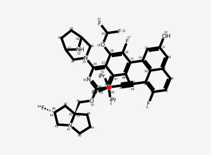 CC(C)[Si](C#Cc1c(F)ccc2cc(O)cc(-c3c(F)c(OC(F)F)c4c(N5CC6CCC(C5)N6)nc(OC[C@@]56CCCN5C[C@H](F)C6)nc4c3F)c12)(C(C)C)C(C)C